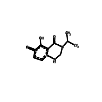 CC(N1CNn2ccc(=O)c(O)c2C1=O)C(F)(F)F